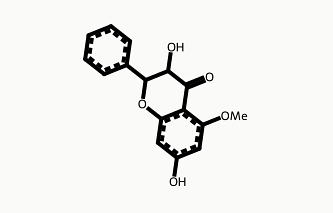 COc1cc(O)cc2c1C(=O)C(O)C(c1ccccc1)O2